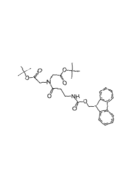 CC(C)(C)OC(=O)CN(CC(=O)OC(C)(C)C)C(=O)CCNC(=O)OCC1c2ccccc2-c2ccccc21